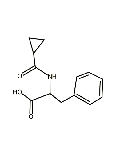 O=C(NC(Cc1ccccc1)C(=O)O)C1CC1